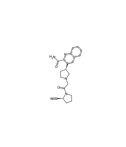 N#C[C@@H]1CCCN1C(=O)CN1CC[C@@H](c2cc3ccccc3nc2C(N)=O)C1